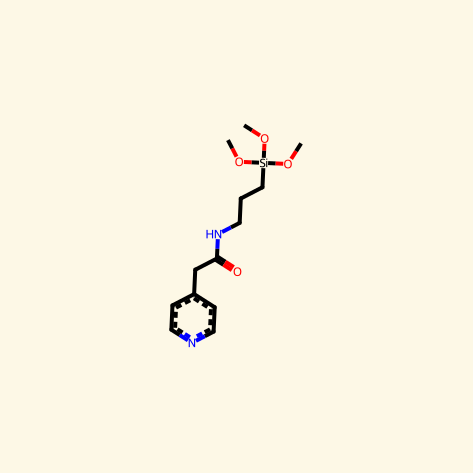 CO[Si](CCCNC(=O)Cc1ccncc1)(OC)OC